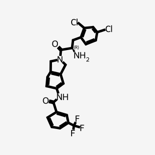 N[C@H](Cc1ccc(Cl)cc1Cl)C(=O)N1Cc2ccc(NC(=O)c3cccc(C(F)(F)F)c3)cc2C1